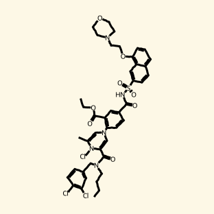 CCCCN(Cc1ccc(Cl)c(Cl)c1)C(=O)C1=CN(c2ccc(C(=O)NS(=O)(=O)c3ccc4cccc(OCCN5CCOCC5)c4c3)cc2C(=O)OCC)C=C(C)N1Cl